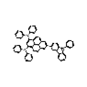 c1ccc(N(c2ccccc2)c2cc(N(c3ccccc3)c3ccccc3)c3ccc4cc(-c5ccc6c(c5)c5ccccc5n6-c5ccccc5)cc5ccc2c3c54)cc1